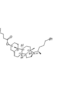 C=CCCC(=O)O[C@H]1CC[C@@]2(C)C(=CC[C@H]3[C@@H]4CC[C@H]([C@H](C)CCCC(C)C)[C@@]4(C)CC[C@@H]32)C1